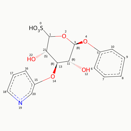 O=S(=O)(O)C1O[C@@H](Oc2ccccc2)[C@H](O)[C@@H](Oc2cccnc2)[C@@H]1O